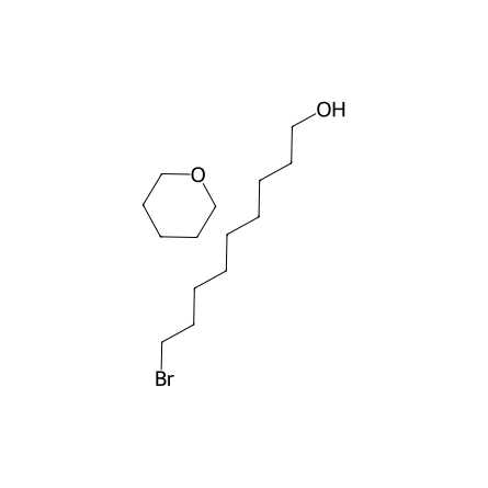 C1CCOCC1.OCCCCCCCCCBr